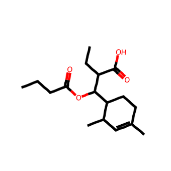 CCCC(=O)OC(C(CC)C(=O)O)C1CCC(C)=CC1C